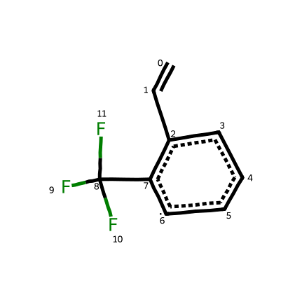 C=Cc1ccc[c]c1C(F)(F)F